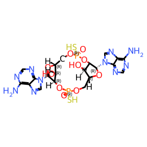 Nc1ncnc2c1ncn2[C@@H]1O[C@@H]2CO[P@@](=O)(S)O[C@@H]3[C@H](O)[C@@H](CO[P@@](=O)(S)OC1[C@@H]2O)O[C@H]3n1cnc2c(N)ncnc21